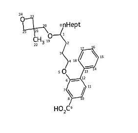 CCCCCCCC(CCCOc1cc(C(=O)O)ccc1-c1ccccc1)OCC1(C)COC1